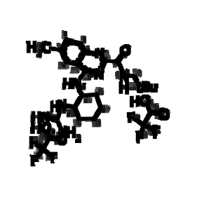 Cc1ccc2nc(C(=O)NCC(C)(C)C)nc(NC3CCCCC3NC(=N)N)c2c1.O=C(O)C(F)(F)F.O=C(O)C(F)(F)F